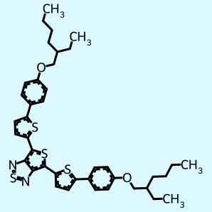 CCCCC(CC)COc1ccc(-c2ccc(-c3sc(-c4ccc(-c5ccc(OCC(CC)CCCC)cc5)s4)c4c3N=S=N4)s2)cc1